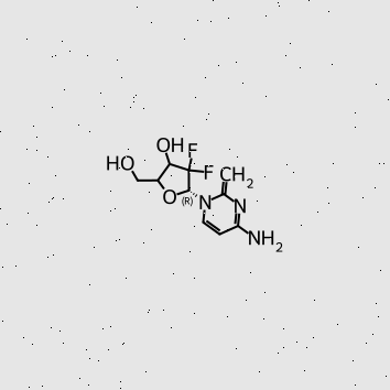 C=C1N=C(N)C=CN1[C@@H]1OC(CO)C(O)C1(F)F